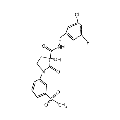 CS(=O)(=O)c1cccc(N2CC[C@](O)(C(=O)NCc3cc(F)cc(Cl)c3)C2=O)c1